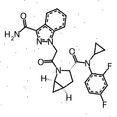 NC(=O)c1nn(CC(=O)N2[C@@H]3C[C@@H]3C[C@H]2C(=O)N(c2ccc(F)cc2F)C2CC2)c2ccccc12